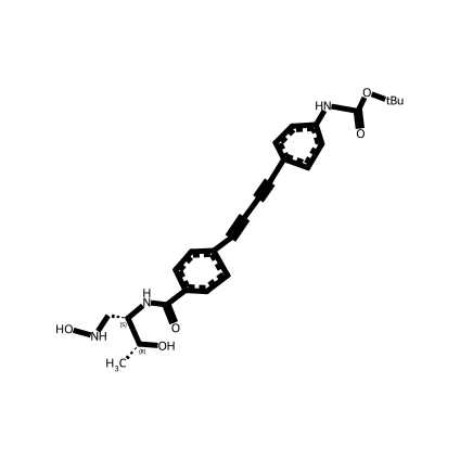 C[C@@H](O)[C@H](CNO)NC(=O)c1ccc(C#CC#Cc2ccc(NC(=O)OC(C)(C)C)cc2)cc1